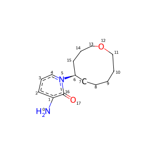 Nc1cccn([C@@H]2CCCCCOCCC2)c1=O